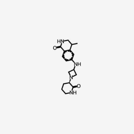 CC1CNC(=O)c2ccc(NC3CN([C@@H]4CCCNC4=O)C3)cc21